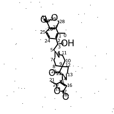 Cc1c([C@@H](O)CN2CCC3(CC2)CCN(C2=CC(=O)OC2C)C3=O)ccc2c1COC2=O